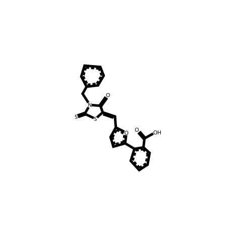 O=C(O)c1ccccc1-c1ccc(/C=C2\SC(=S)N(Cc3ccccc3)C2=O)o1